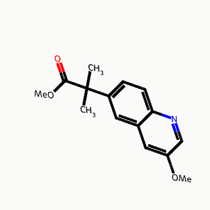 COC(=O)C(C)(C)c1ccc2ncc(OC)cc2c1